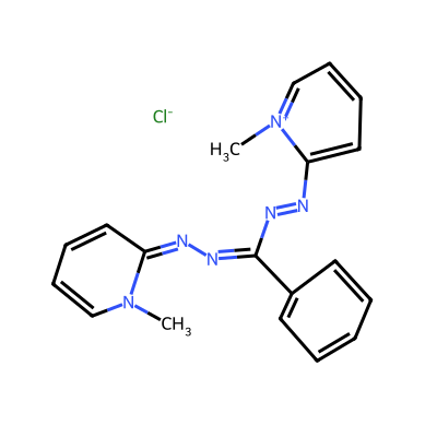 Cn1ccccc1=NN=C(N=Nc1cccc[n+]1C)c1ccccc1.[Cl-]